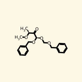 CO[C@@H](C)C(=O)[C@@H](OCOCc1ccccc1)OCc1ccccc1